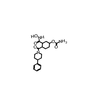 NC(=O)OC1CCC(C(=O)N2CCC(c3ccccc3)CC2)C(C(=O)NO)C1